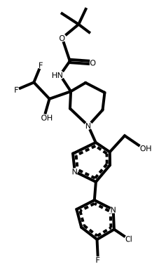 CC(C)(C)OC(=O)NC1(C(O)C(F)F)CCCN(c2cnc(-c3ccc(F)c(Cl)n3)cc2CO)C1